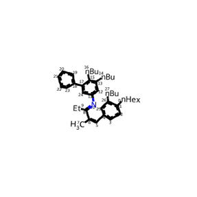 CCCCCCc1ccc(C=C(C)C(CC)=Nc2cc(CCCC)c(CCCC)c(-c3ccccc3)c2)cc1CCCC